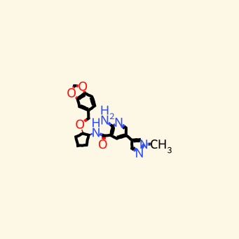 Cn1cc(-c2cnc(N)c(C(=O)N[C@H]3CCC[C@@H]3OCc3ccc4c(c3)OCO4)c2)cn1